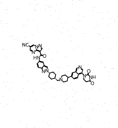 N#Cc1cnc2c(C(=O)Nc3ccc4nn([C@H]5CC[C@H](CN6CCC(c7ccc8c(N9CCC(=O)NC9=O)cncc8c7)CC6)CC5)cc4c3)cnn2c1